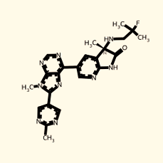 Cc1ncc(-c2nc3c(-c4cnc5c(c4)[C@](C)(NCC(C)(C)F)C(=O)N5)ncnc3n2C)cn1